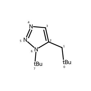 CC(C)(C)Cc1cnnn1C(C)(C)C